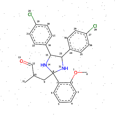 COc1ccccc1C1(CC(C)C=O)NC(c2ccc(Cl)cc2)C(c2ccc(Cl)cc2)N1